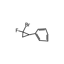 FC1(Br)C[C]1c1ccccc1